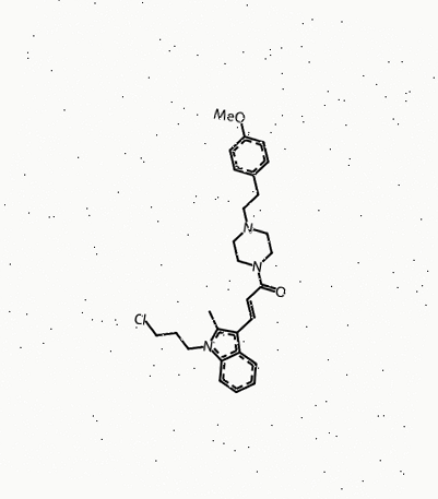 COc1ccc(CCN2CCN(C(=O)C=Cc3c(C)n(CCCCl)c4ccccc34)CC2)cc1